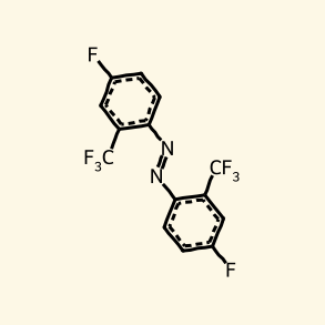 Fc1ccc(/N=N/c2ccc(F)cc2C(F)(F)F)c(C(F)(F)F)c1